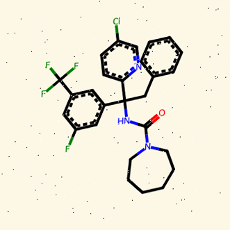 O=C(NC(Cc1ccccc1)(c1cc(F)cc(C(F)(F)F)c1)c1ccc(Cl)cn1)N1CCCCCC1